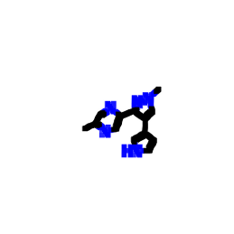 Cc1cnc(-c2nn(C)cc2-c2cc[nH]c2)cn1